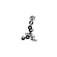 CC(C)(C)OC(=O)Nc1ccc(-c2ccco2)cc1NC(=O)c1cnc2cc(N3CCN(C(=O)OC(C)(C)C)CC3)ccc2c1